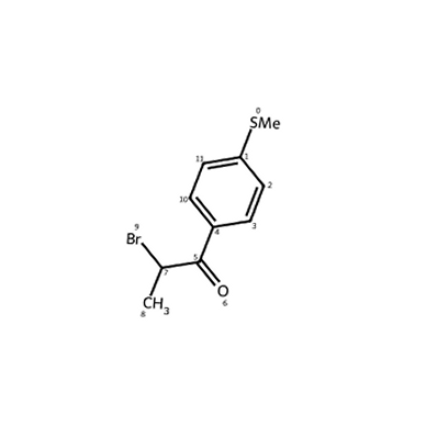 CSc1ccc(C(=O)C(C)Br)cc1